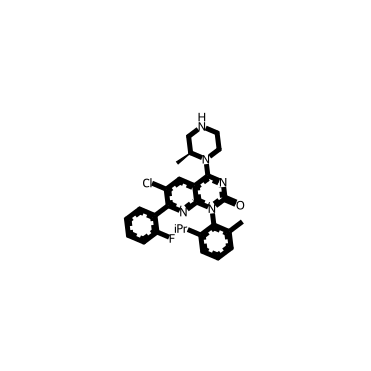 Cc1cccc(C(C)C)c1-n1c(=O)nc(N2CCNC[C@@H]2C)c2cc(Cl)c(-c3ccccc3F)nc21